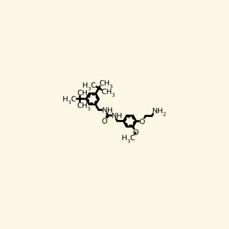 COc1cc(CNC(=O)NCc2cc(C(C)(C)C)cc(C(C)(C)C)c2)ccc1OCCN